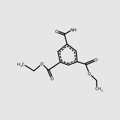 CCOC(=O)c1cc(C([NH])=O)cc(C(=O)OCC)c1